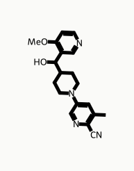 COc1ccncc1C(O)C1CCN(c2cnc(C#N)c(C)c2)CC1